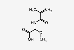 C=C(C)C(=O)NC(OC)C(=O)O